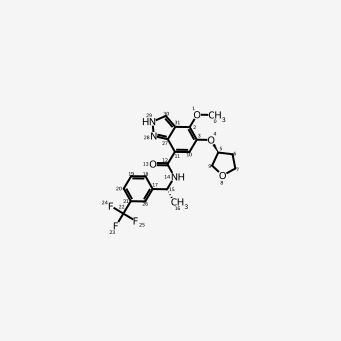 COc1c(O[C@H]2CCOC2)cc(C(=O)N[C@H](C)c2cccc(C(F)(F)F)c2)c2n[nH]cc12